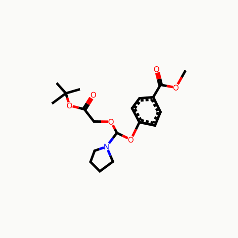 COC(=O)c1ccc(OC(OCC(=O)OC(C)(C)C)N2CCCC2)cc1